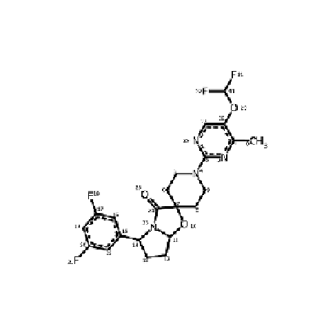 Cc1nc(N2CCC3(CC2)OC2CCC(c4cc(F)cc(F)c4)N2C3=O)ncc1OC(F)F